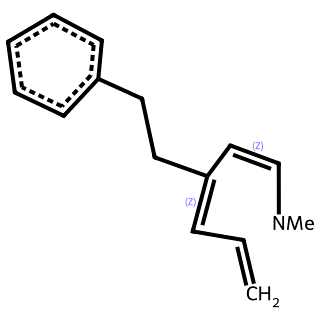 C=C/C=C(\C=C/NC)CCc1ccccc1